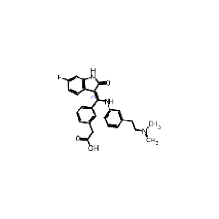 CN(C)CCc1cccc(N/C(=C2\C(=O)Nc3cc(F)ccc32)c2cccc(CC(=O)O)c2)c1